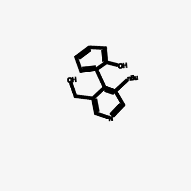 CCCCc1cncc(CO)c1-c1ccccc1O